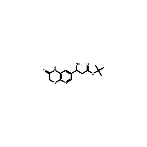 CC(C)(C)OC(=O)CC(N)c1cnc2c(c1)NC(=O)CO2